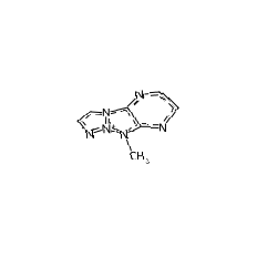 Cn1c2nccnc2n2ccn[n+]12